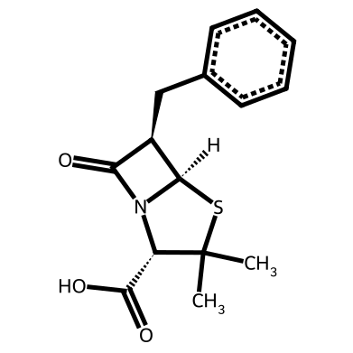 CC1(C)S[C@@H]2[C@H](Cc3ccccc3)C(=O)N2[C@H]1C(=O)O